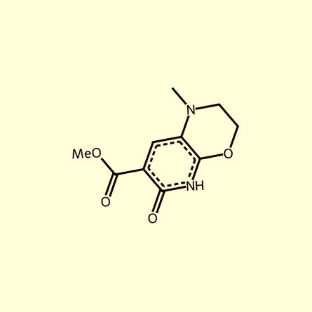 COC(=O)c1cc2c([nH]c1=O)OCCN2C